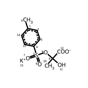 Cc1ccc(S(=O)(=O)OC(C)(O)C(=O)[O-])cc1.[K+]